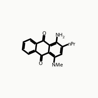 CCCc1cc(NC)c2c(c1N)C(=O)c1ccccc1C2=O